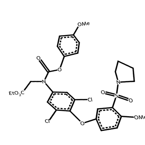 CCOC(=O)CN(C(=O)Oc1ccc(OC)cc1)c1cc(Cl)c(Oc2ccc(OC)c(S(=O)(=O)N3CCCC3)c2)c(Cl)c1